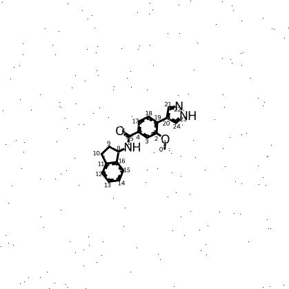 COc1cc(C(=O)NC2CCc3ccccc32)ccc1-c1cn[nH]c1